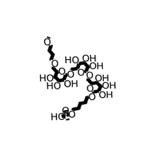 COCCCCOCC1OC(OCC2OC(OCC3OC(OCCCCCOP(C)(=O)O)C(O)C(O)C3O)C(O)C(O)C2O)C(O)C(O)C1O